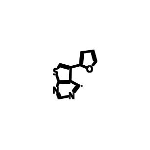 [c]1ncnc2scc(-c3ccco3)c12